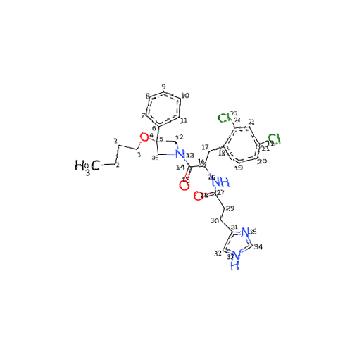 CCCCOC1(c2ccccc2)CN(C(=O)C(Cc2ccc(Cl)cc2Cl)NC(=O)CCc2c[nH]cn2)C1